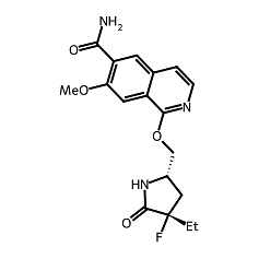 CC[C@]1(F)C[C@@H](COc2nccc3cc(C(N)=O)c(OC)cc23)NC1=O